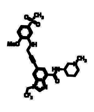 COc1ccc(S(C)(=O)=O)cc1NCC#Cc1cc(C(=O)N[C@@H]2CCCN(C)C2)c2ncn(CC(F)(F)F)c2c1